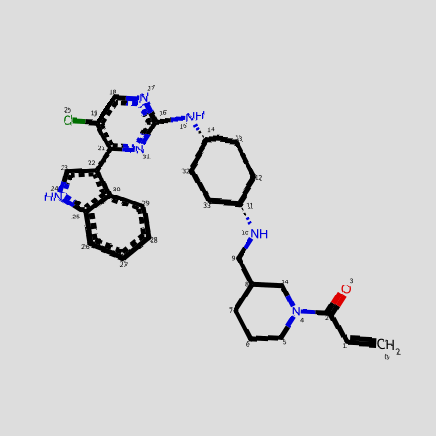 C=CC(=O)N1CCCC(CN[C@H]2CC[C@@H](Nc3ncc(Cl)c(-c4c[nH]c5ccccc45)n3)CC2)C1